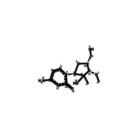 CO[C@H]1[C@@H](CO)O[C@@H](n2ncc(N)nc2=O)C1(C)O